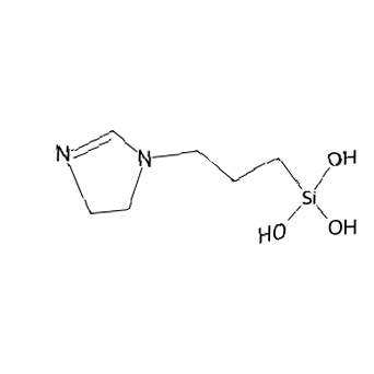 O[Si](O)(O)CCCN1C=NCC1